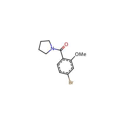 COc1cc(Br)ccc1C(=O)N1CCCC1